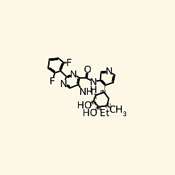 CC[C@]1(O)[C@H](O)C[C@H](c2ccncc2NC(=O)c2nc(-c3c(F)cccc3F)ncc2N)C[C@@H]1C